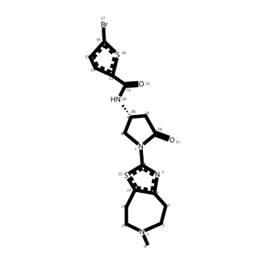 CN1CCc2nc(N3C[C@H](NC(=O)c4ccc(Br)s4)CC3=O)sc2CC1